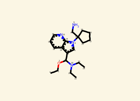 CCOC(c1cn(C2(CN)CCCC2)c2ncccc12)N(CC)CC